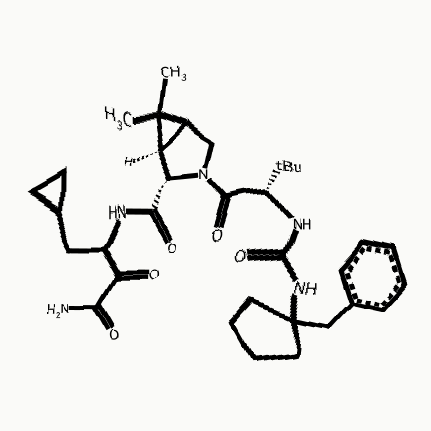 CC(C)(C)[C@H](NC(=O)NC1(Cc2ccccc2)CCCC1)C(=O)N1CC2[C@@H]([C@H]1C(=O)NC(CC1CC1)C(=O)C(N)=O)C2(C)C